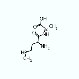 CPCCC(N)C(=O)N[C@@H](C)C(=O)O